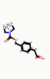 CCN(CC)C(=S)SCc1ccc(CC=O)cc1